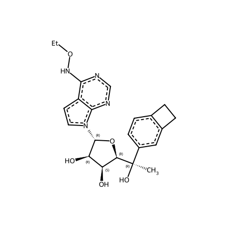 CCONc1ncnc2c1ccn2[C@@H]1O[C@@H]([C@](C)(O)c2ccc3c(c2)CC3)[C@@H](O)[C@H]1O